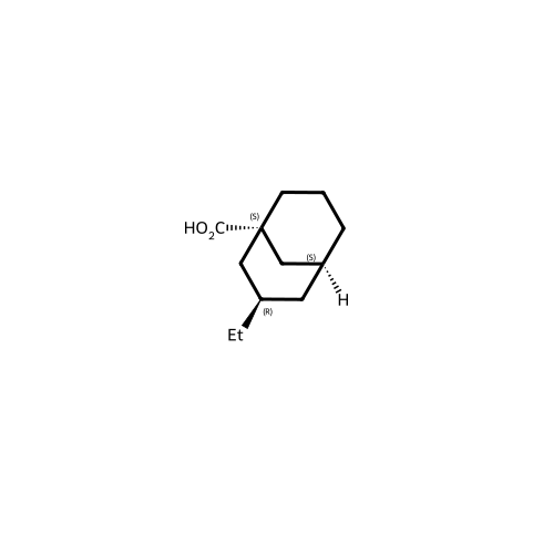 CC[C@@H]1C[C@@H]2CCC[C@](C(=O)O)(C1)C2